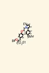 CCOC(=O)[C@H](Cc1ccc(OCCn2c(CC)ccc2-c2ccc(SC)cc2)cc1)OCC